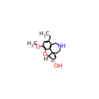 CCc1cc(OC)c2c3c1CNCCC31C=C[C@H](O)C[C@H]1O2